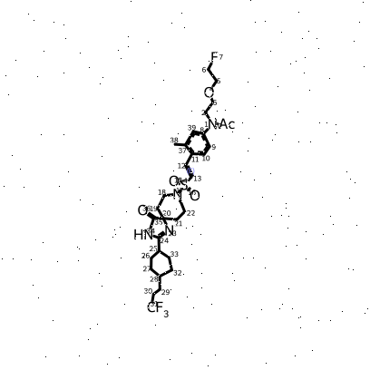 CC(=O)N(CCOCCF)c1ccc(/C=C/S(=O)(=O)N2CCC3(CC2)N=C(C2CCC(CCC(F)(F)F)CC2)NC3=O)c(C)c1